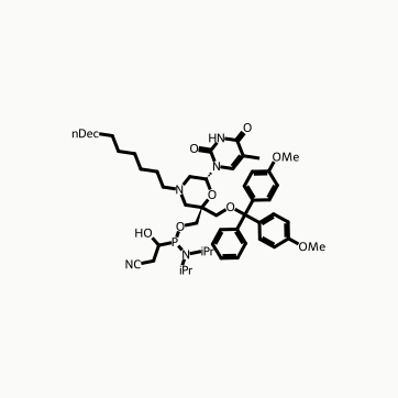 CCCCCCCCCCCCCCCCN1C[C@H](n2cc(C)c(=O)[nH]c2=O)O[C@](COP(C(O)CC#N)N(C(C)C)C(C)C)(COC(c2ccccc2)(c2ccc(OC)cc2)c2ccc(OC)cc2)C1